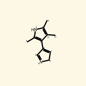 Cc1[nH]c(C)c(C2=CCN=C2)c1C